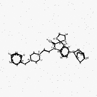 O=C1N(CCN2CCN(Cc3ccccc3)CC2)c2ccc(C3CC4CCC3C4)cc2C12SCCS2